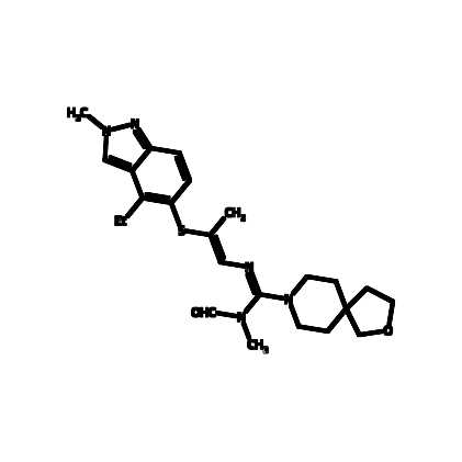 CCc1c(S/C(C)=C/N=C(\N(C)C=O)N2CCC3(CCOC3)CC2)ccc2nn(C)cc12